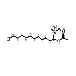 CC(=O)OC(CCCCCCCCCCCl)[SiH](C)C